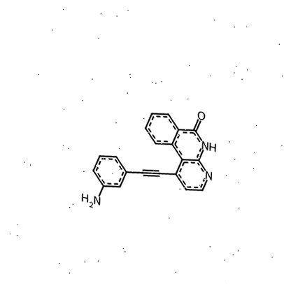 Nc1cccc(C#Cc2ccnc3[nH]c(=O)c4ccccc4c23)c1